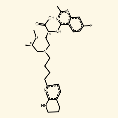 CO[C@H](C)CN(CCCCc1ccc2c(n1)NCCC2)CC[C@H](Nc1nc(C)nc2cc(F)ccc12)C(=O)O